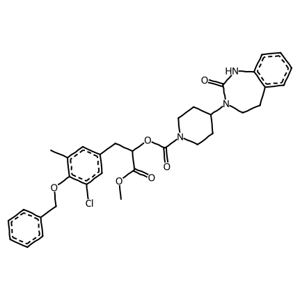 COC(=O)C(Cc1cc(C)c(OCc2ccccc2)c(Cl)c1)OC(=O)N1CCC(N2CCc3ccccc3NC2=O)CC1